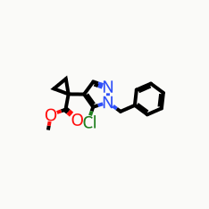 COC(=O)C1(c2cnn(Cc3ccccc3)c2Cl)CC1